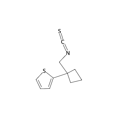 S=C=NCC1(c2cccs2)CCC1